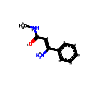 CNC(=O)C=C(N)c1ccccc1